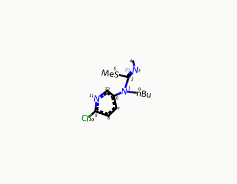 CCCCN(/C(=N/C)SC)c1ccc(Cl)nc1